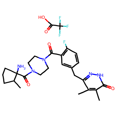 Cc1c(Cc2ccc(F)c(C(=O)N3CCN(C(=O)C4(N)CCCC4C)CC3)c2)n[nH]c(=O)c1C.O=C(O)C(F)(F)F